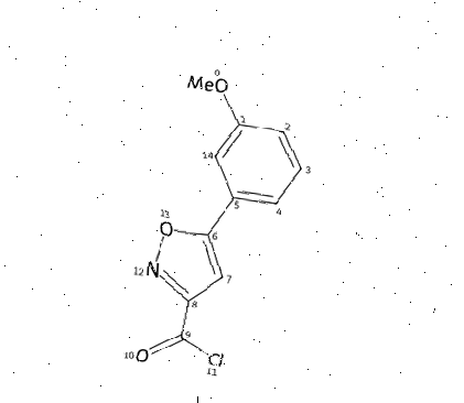 COc1cccc(-c2cc(C(=O)Cl)no2)c1